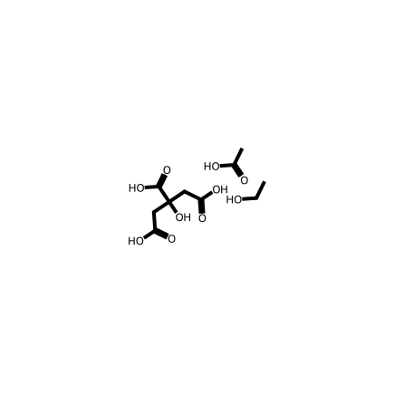 CC(=O)O.CCO.O=C(O)CC(O)(CC(=O)O)C(=O)O